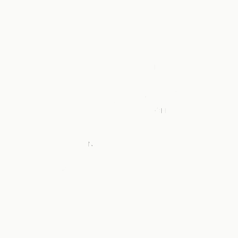 OC(F)(c1ccc(N2CCOCC2)cc1)C(F)F